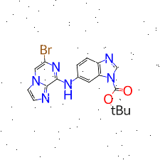 CC(C)(C)OC(=O)n1cnc2ccc(Nc3nc(Br)cn4ccnc34)cc21